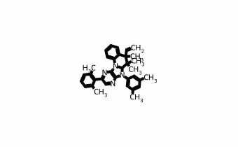 C=CC1(C)c2ccccc2N2c3nc(-c4c(C)cccc4C)cnc3N(c3cc(C)cc(C)c3)C2C1(C)C